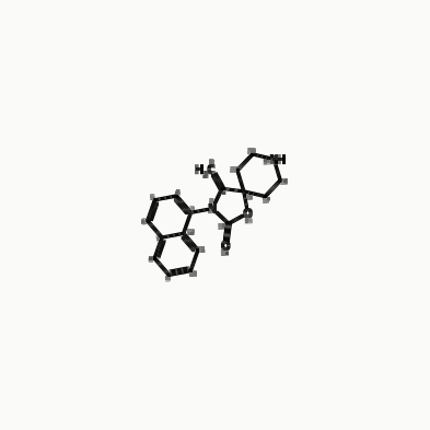 C=C1N(c2cccc3ccccc23)C(=O)OC12CCNCC2